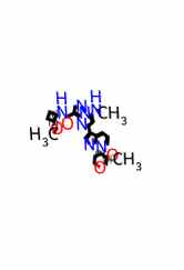 CNc1cc(-c2cnc3n([C@H]4CCOC[C@@H]4OC)cccc2-3)nc2c(C(=O)N[C@H]3CC[C@@H]3OC)cnn12